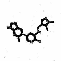 Cc1nc2[nH]ccc2cc1-c1cnc(Cl)c(NCc2cnn(C)c2C)c1